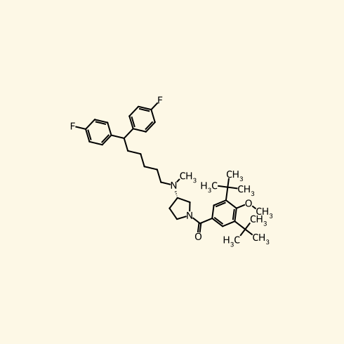 COc1c(C(C)(C)C)cc(C(=O)N2CC[C@H](N(C)CCCCCC(c3ccc(F)cc3)c3ccc(F)cc3)C2)cc1C(C)(C)C